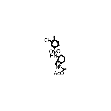 CC(=O)OC(C)n1ncc2c1CCCC2NS(=O)(=O)c1ccc(C)c(Cl)c1